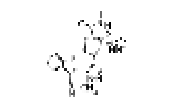 Cn1ncc(-c2ccc3c(=O)[nH]nc([C@@H]4CCN4)c3c2)c1-c1sc2ccccc2c1C#N